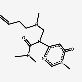 C=CCCN(C)CN(C(=O)N(C)C)c1cc(=O)n(C)cn1